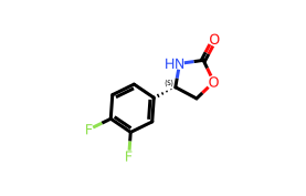 O=C1N[C@@H](c2ccc(F)c(F)c2)CO1